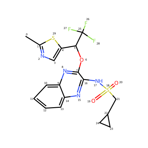 Cc1ncc(C(Oc2nc3ccccc3nc2NS(=O)(=O)CC2CC2)C(F)(F)F)s1